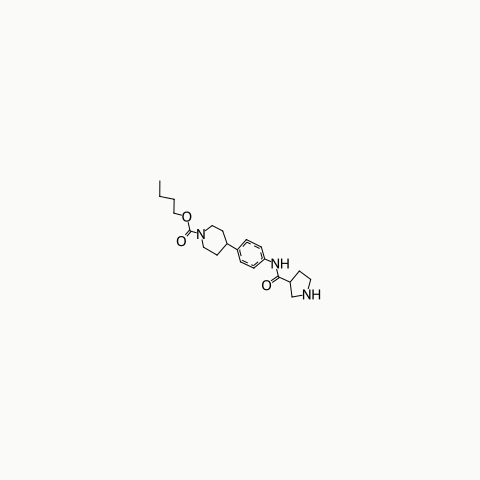 CCCCOC(=O)N1CCC(c2ccc(NC(=O)C3CCNC3)cc2)CC1